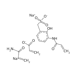 C=CC(=O)Nc1cccc(CS(=O)(=O)[O-])c1O.C=CC(=O)[O-].C=CC(N)=O.[Na+].[Na+]